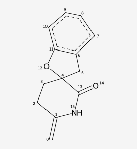 C=C1CCC2(Cc3ccccc3O2)C(=O)N1